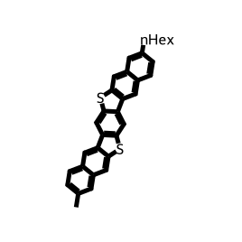 CCCCCCc1ccc2cc3c(cc2c1)sc1cc2c(cc13)sc1cc3cc(C)ccc3cc12